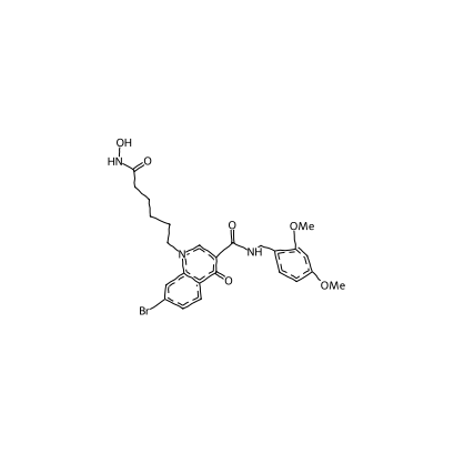 COc1ccc(CNC(=O)c2cn(CCCCCC(=O)NO)c3cc(Br)ccc3c2=O)c(OC)c1